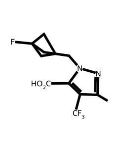 Cc1nn(CC23CC(F)(C2)C3)c(C(=O)O)c1C(F)(F)F